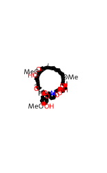 COC1CC(C[C@H]2C3CCCN4C(=O)C(=O)C5(O)O[C@@H](CCC5C)C[C@H](OC)/C(C)=C/C=C/C=C/[C@@H](C)CC(C)C(=O)[C@H](OC)C(O)/C(C)=C/[C@@H](C)C(=O)C[C@@H]2OC(=O)C34)CC[C@H]1O